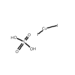 O=S(=O)(O)O.[I][Cu][I]